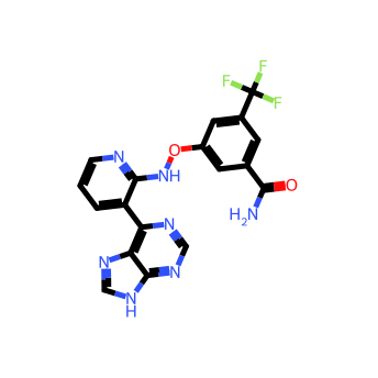 NC(=O)c1cc(ONc2ncccc2-c2ncnc3[nH]cnc23)cc(C(F)(F)F)c1